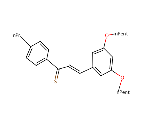 CCCCCOc1cc(C=CC(=S)c2ccc(CCC)cc2)cc(OCCCCC)c1